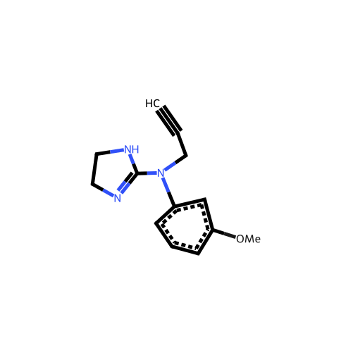 C#CCN(C1=NCCN1)c1cccc(OC)c1